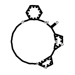 O=C1Nc2ccccc2OCCCCCCCn2cc(cn2)-c2nc1co2